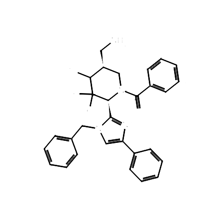 CC1(C)C(F)[C@@H](CN)CN(C(=O)c2ccccc2)[C@H]1c1nc(-c2ccccc2)cn1Cc1ccccc1